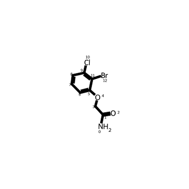 NC(=O)COc1cccc(Cl)c1Br